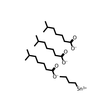 CC(C)CCCCC(=O)[O-].CC(C)CCCCC(=O)[O-].CC(C)CCCCC(=O)[O-].CCC[CH2][Sn+3]